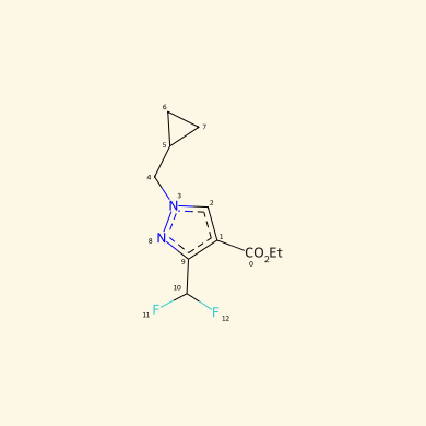 CCOC(=O)c1cn(CC2CC2)nc1C(F)F